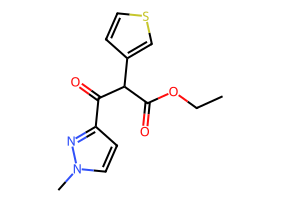 CCOC(=O)C(C(=O)c1ccn(C)n1)c1ccsc1